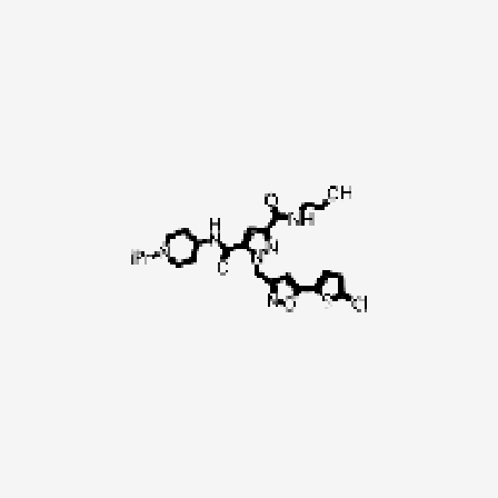 CC(C)N1CCC(NC(=O)c2cc(C(=O)NCCO)nn2Cc2cc(-c3ccc(Cl)s3)on2)CC1